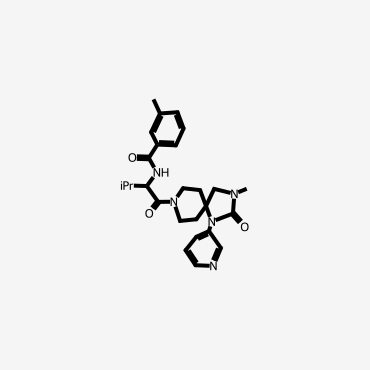 Cc1cccc(C(=O)NC(C(=O)N2CCC3(CC2)CN(C)C(=O)N3c2cccnc2)C(C)C)c1